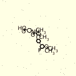 Cc1sc(C)c(C(=O)NC2CCC(C(=O)O)CC2)c1Cc1ccc(-c2cc(F)cc(OC(C)C)c2)cc1